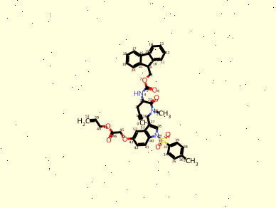 C#CCC(NC(=O)OCC1c2ccccc2-c2ccccc21)C(=O)N(C)Cc1cn(S(=O)(=O)c2ccc(C)cc2)c2ccc(OCC(=O)OCC=C)cc12